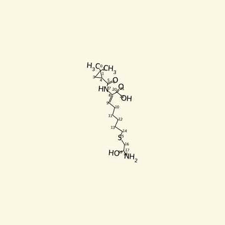 CC1(C)CC1C(=O)N/C(=C/CCCCCSCC(N)O)C(=O)O